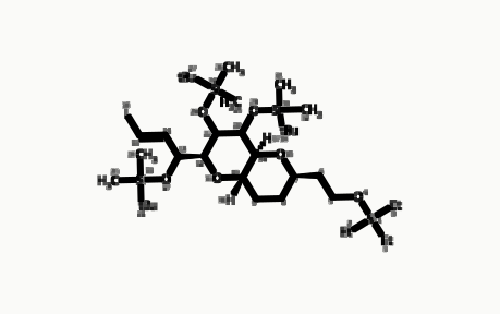 CC[Si](CC)(CC)OCC[C@H]1CC[C@@H]2O[C@@H](C(/C=C/I)O[Si](C)(C)C(C)(C)C)C(O[Si](C)(C)C(C)(C)C)C(O[Si](C)(C)C(C)(C)C)[C@H]2O1